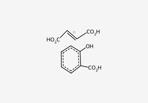 O=C(O)/C=C/C(=O)O.O=C(O)c1ccccc1O